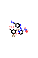 N#Cc1ccc(Nc2nc(Oc3c(Br)cc(CO)cc3Br)ccc2[N+](=O)[O-])cc1